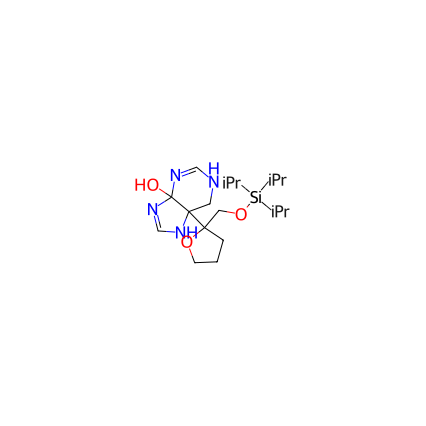 CC(C)[Si](OCC1(C23CNC=NC2(O)N=CN3)CCCO1)(C(C)C)C(C)C